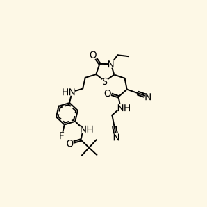 CCN1C(=O)C(CCNc2ccc(F)c(NC(=O)C(C)(C)C)c2)SC1CC(C#N)C(=O)NCC#N